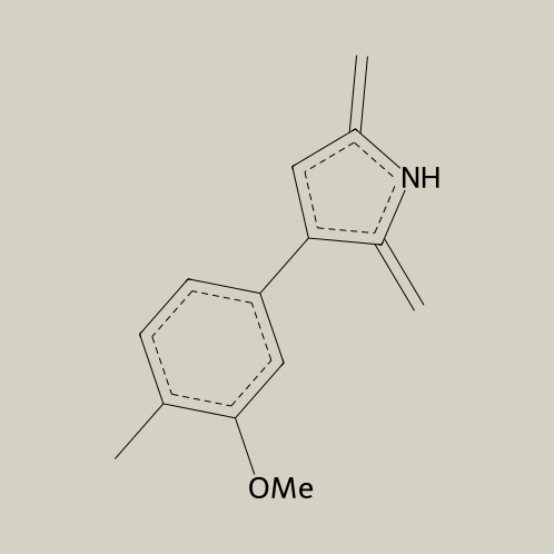 C=c1cc(-c2ccc(C)c(OC)c2)c(=C)[nH]1